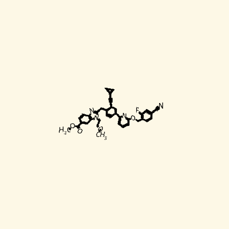 COCCn1c(Cc2ccc(-c3cccc(OCc4ccc(C#N)cc4F)n3)cc2C#CC2CC2)nc2ccc(C(=O)OC)cc21